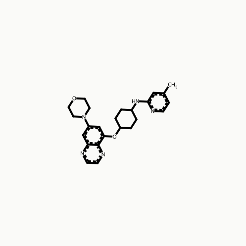 Cc1ccnc(NC2CCC(Oc3cc(N4CCOCC4)cc4nccnc34)CC2)c1